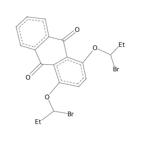 CCC(Br)Oc1ccc(OC(Br)CC)c2c1C(=O)c1ccccc1C2=O